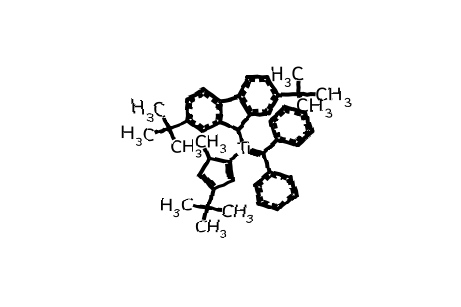 CC1C=C(C(C)(C)C)C=[C]1[Ti](=[C](c1ccccc1)c1ccccc1)[CH]1c2cc(C(C)(C)C)ccc2-c2ccc(C(C)(C)C)cc21